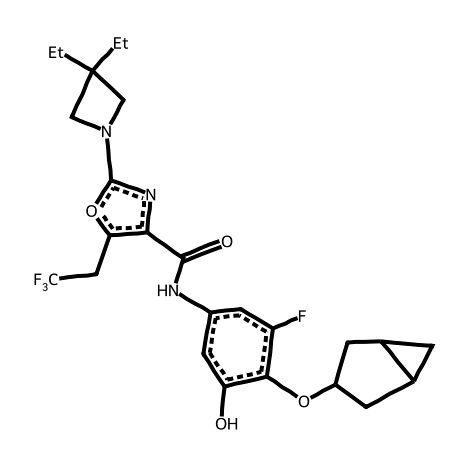 CCC1(CC)CN(c2nc(C(=O)Nc3cc(O)c(OC4CC5CC5C4)c(F)c3)c(CC(F)(F)F)o2)C1